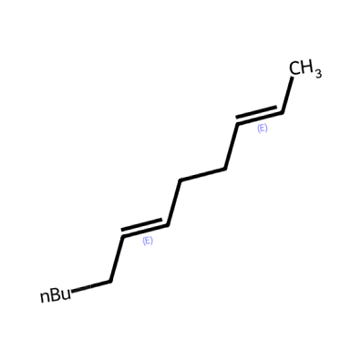 C/C=C/CC/C=C/CCCCC